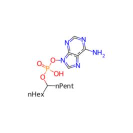 CCCCCCC(CCCCC)OP(=O)(O)On1cnc2c(N)ncnc21